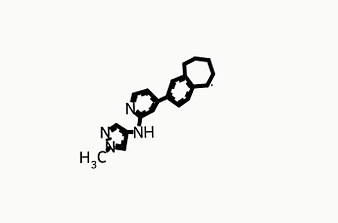 Cn1cc(Nc2cc(-c3ccc4c(c3)CCCC[CH]4)ccn2)cn1